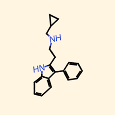 c1ccc(-c2c(CCNCC3CC3)[nH]c3ccccc23)cc1